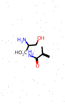 C=C(C)C(N)=O.NC(CO)C(=O)O